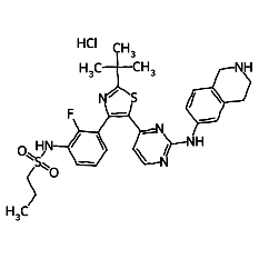 CCCS(=O)(=O)Nc1cccc(-c2nc(C(C)(C)C)sc2-c2ccnc(Nc3ccc4c(c3)CCNC4)n2)c1F.Cl